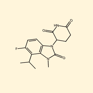 CC(C)c1c(F)ccc2c1n(C)c(=O)n2C1CCC(=O)NC1=O